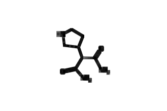 NC(=O)C(C(N)=O)C1CCNC1